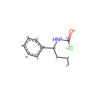 CCCC(NC(=O)Cl)c1ccccc1